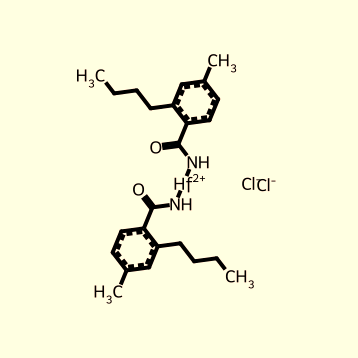 CCCCc1cc(C)ccc1C(=O)[NH][Hf+2][NH]C(=O)c1ccc(C)cc1CCCC.[Cl-].[Cl-]